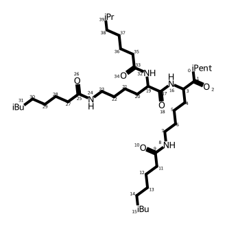 CCCC(C)C(=O)C(CCCCNC(=O)CCCCC(C)CC)NC(=O)C(CCCCNC(=O)CCCCC(C)CC)NC(=O)CCCCC(C)C